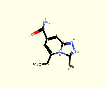 COCc1cc(C(N)=O)cc2nnc(C(C)(C)C)n12